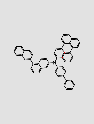 c1ccc(-c2ccc(N(c3ccc(-c4cccc5cccc(-c6ccccc6)c45)cc3)c3ccc4c(-c5ccc6ccccc6c5)cccc4c3)cc2)cc1